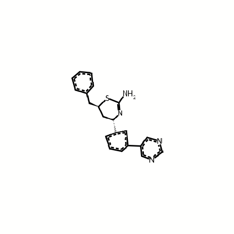 NC1=N[C@H](c2cccc(-c3cncnc3)c2)C[C@@H](Cc2ccccc2)S1